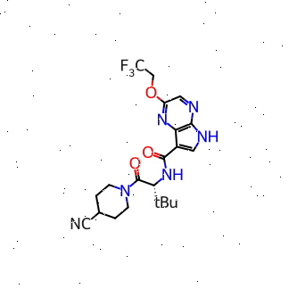 CC(C)(C)[C@@H](NC(=O)c1c[nH]c2ncc(OCC(F)(F)F)nc12)C(=O)N1CCC(C#N)CC1